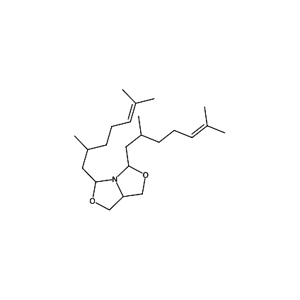 CC(C)=CCCC(C)CC1OCC2COC(CC(C)CCC=C(C)C)N21